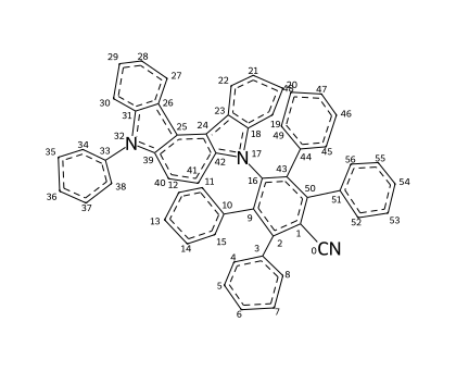 N#Cc1c(-c2ccccc2)c(-c2ccccc2)c(-n2c3ccccc3c3c4c5ccccc5n(-c5ccccc5)c4ccc32)c(-c2ccccc2)c1-c1ccccc1